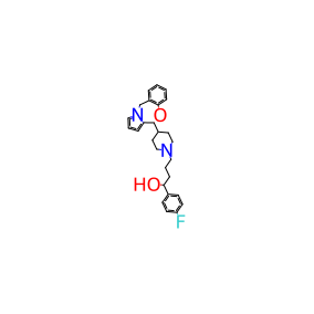 OC(CCCN1CCC(C2Oc3ccccc3Cn3cccc32)CC1)c1ccc(F)cc1